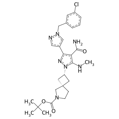 CNc1c(C(N)=O)c(-c2cnn(Cc3cccc(Cl)c3)c2)nn1[C@H]1C[C@@]2(CCN(C(=O)OC(C)(C)C)C2)C1